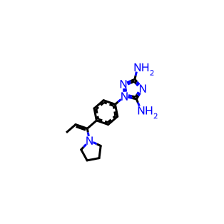 CC=C(c1ccc(-n2nc(N)nc2N)cc1)N1CCCC1